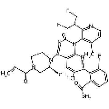 BC(=O)c1cccc(F)c1-c1nc2c(cc1Cl)c(N1CCN(C(=O)C=C)C[C@@H]1C)nc(=O)n2-c1c(C)ccnc1C(CF)CF